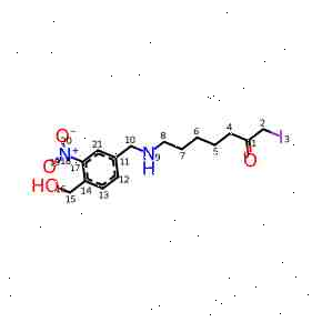 O=C(CI)CCCCCNCc1ccc(CO)c([N+](=O)[O-])c1